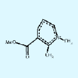 COC(=O)c1ccc[n+](C)c1C